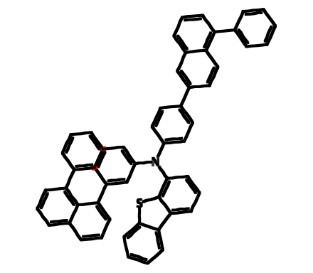 c1ccc(-c2cccc3cc(-c4ccc(N(c5cccc(-c6cccc7cccc(-c8ccccc8)c67)c5)c5cccc6c5sc5ccccc56)cc4)ccc23)cc1